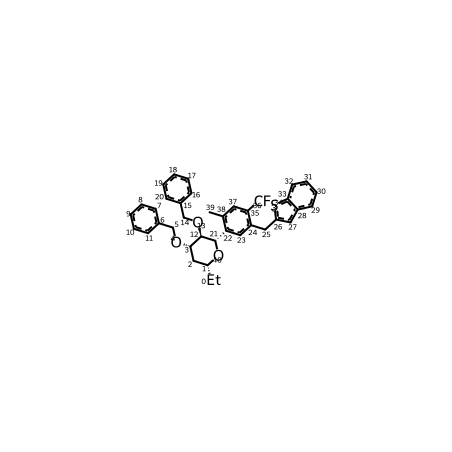 CC[C@@H]1C[C@H](OCc2ccccc2)[C@@H](OCc2ccccc2)[C@H](c2cc(Cc3cc4ccccc4s3)c(C(F)(F)F)cc2C)O1